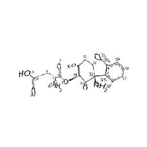 N[C@@H](CC(=O)O)C(=O)O[C@H]1CCC[C@](N)(c2ccccc2Cl)C1=O